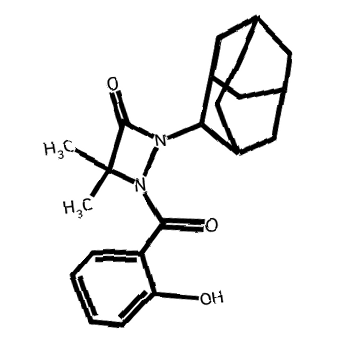 CC1(C)C(=O)N(C2C3CC4CC(C3)CC2C4)N1C(=O)c1ccccc1O